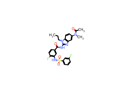 CCCn1c(NC(=O)c2ccc(F)c(NS(=O)(=O)c3cccc(F)c3)c2)nc2cc(N(C)C(C)=O)ccc21